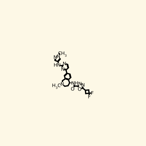 CN1CC[C@H](NC(=O)c2nnc(C3CC(F)(F)C3)o2)c2ccc(-c3ccnc(Nc4cnn(C)c4)n3)cc2C1